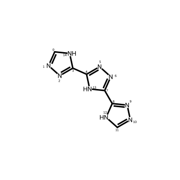 c1nnc(-c2nnc(-c3nnc[nH]3)[nH]2)[nH]1